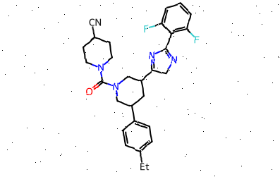 CCc1ccc(C2CC(C3=NC(c4c(F)cccc4F)=NC3)CN(C(=O)N3CCC(C#N)CC3)C2)cc1